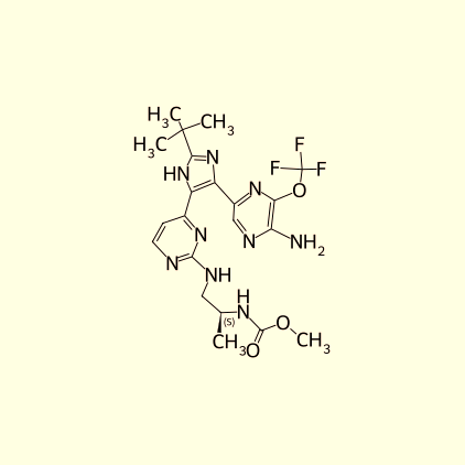 COC(=O)N[C@@H](C)CNc1nccc(-c2[nH]c(C(C)(C)C)nc2-c2cnc(N)c(OC(F)(F)F)n2)n1